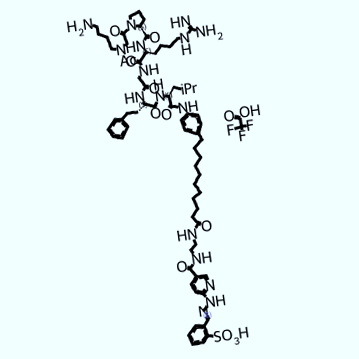 CC(=O)N(CCCCN)CC(=O)N1CCC[C@H]1C(=O)N[C@@H](CCCCNC(=N)N)C(=O)NCC(=O)N[C@@H](CCc1ccccc1)C(=O)N[C@@H](CC(C)C)C(=O)Nc1ccc(CCCCCCCCCCC(=O)NCCNC(=O)c2ccc(N/N=C/c3ccccc3S(=O)(=O)O)nc2)cc1.O=C(O)C(F)(F)F